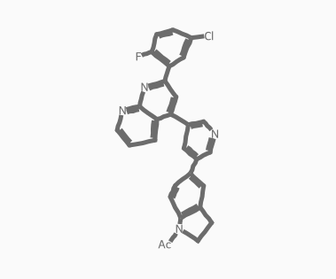 CC(=O)N1CCc2cc(-c3cncc(-c4cc(-c5cc(Cl)ccc5F)nc5ncccc45)c3)ccc21